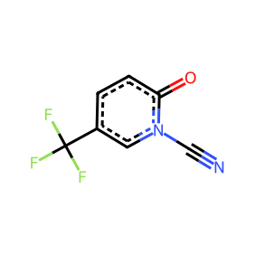 N#Cn1cc(C(F)(F)F)ccc1=O